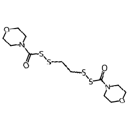 O=C(SSCCSSC(=O)N1CCOCC1)N1CCOCC1